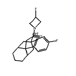 CC1(O)CC2CCCC(C1)C2(CC(=O)N1CC(F)C1)c1ccc(F)cc1